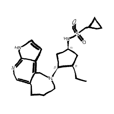 CC[C@@H]1C[C@H](NS(=O)(=O)C2CC2)C[C@@H]1N1CCCc2cnc3[nH]ccc3c21